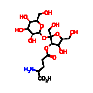 NC(CCC(=O)O[C@H]1[C@H](O)[C@@H](CO)O[C@@]1(CO)O[C@H]1O[C@H](CO)[C@@H](O)[C@H](O)[C@H]1O)C(=O)O